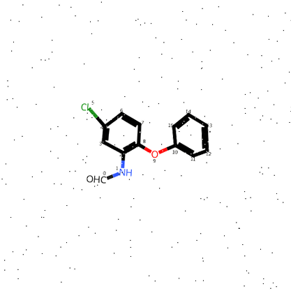 O=CNc1cc(Cl)ccc1Oc1ccccc1